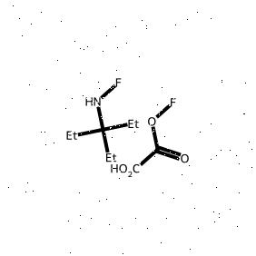 CCC(CC)(CC)NF.O=C(O)C(=O)OF